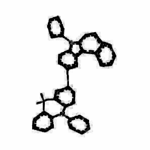 CC1(C)c2ccccc2N(c2ccccc2)c2ccc(-c3ccc4c(c3)c3c5ccccc5ccc3n4-c3ccccc3)cc21